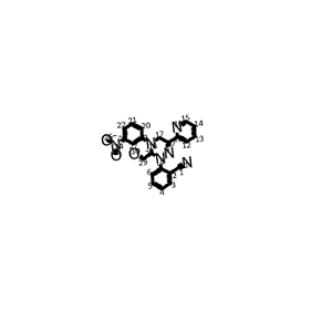 N#Cc1ccccc1N1N=C(c2ccccn2)CN(c2cccc([N+](=O)[O-])c2)C1C=O